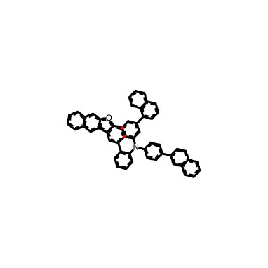 c1cc(-c2cccc3ccccc23)cc(N(c2ccc(-c3ccc4ccccc4c3)cc2)c2ccccc2-c2ccc3oc4cc5ccccc5cc4c3c2)c1